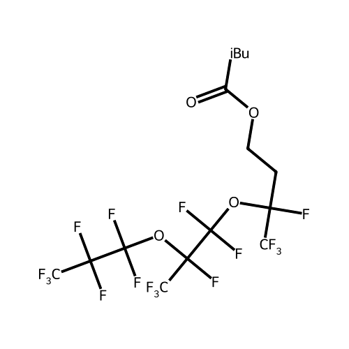 CCC(C)C(=O)OCCC(F)(OC(F)(F)C(F)(OC(F)(F)C(F)(F)C(F)(F)F)C(F)(F)F)C(F)(F)F